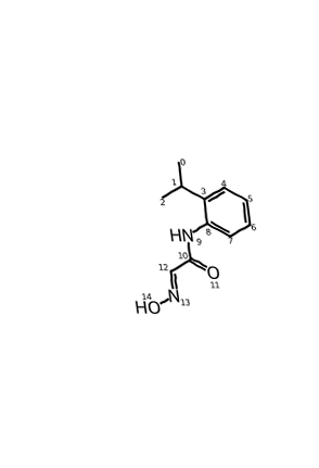 CC(C)c1ccccc1NC(=O)C=NO